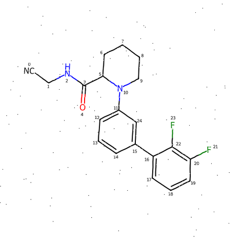 N#CCNC(=O)C1CCCCN1c1cccc(-c2cccc(F)c2F)c1